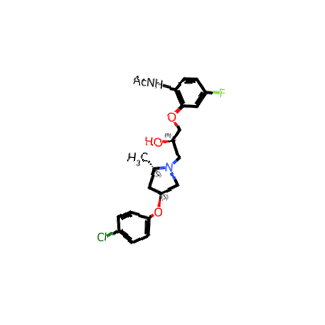 CC(=O)Nc1ccc(F)cc1OC[C@H](O)CN1C[C@@H](Oc2ccc(Cl)cc2)C[C@@H]1C